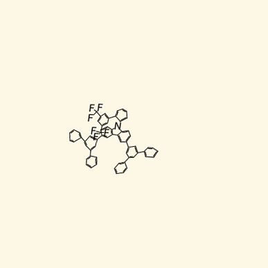 FC(F)(F)c1cc(-c2ccccc2-n2c3ccc(-c4cc(-c5ccccc5)cc(-c5ccccc5)c4)cc3c3cc(-c4cc(-c5ccccc5)cc(-c5ccccc5)c4)ccc32)cc(C(F)(F)F)c1